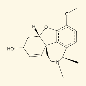 COc1ccc2c3c1O[C@H]1C[C@@H](O)C=C[C@@]31CCN(C)[C@@H]2C